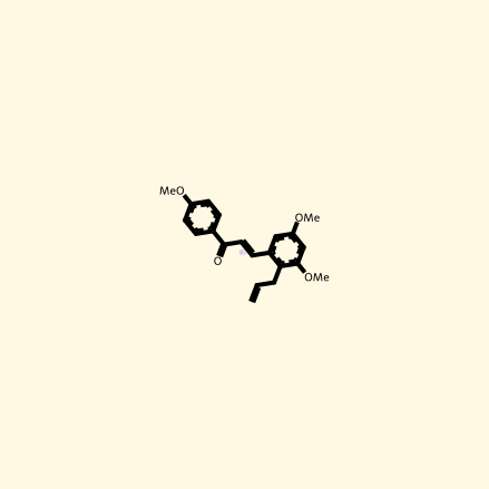 C=CCc1c(/C=C/C(=O)c2ccc(OC)cc2)cc(OC)cc1OC